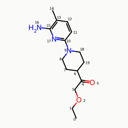 CCOCC(=O)C1CCN(c2ccc(C)c(N)n2)CC1